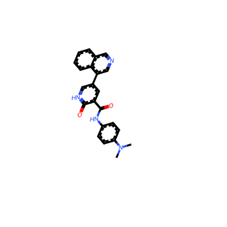 CN(C)c1ccc(NC(=O)c2cc(-c3cncc4ccccc34)c[nH]c2=O)cc1